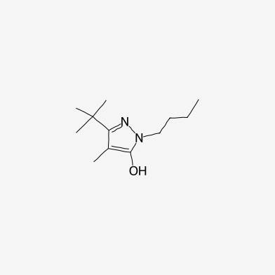 CCCCn1nc(C(C)(C)C)c(C)c1O